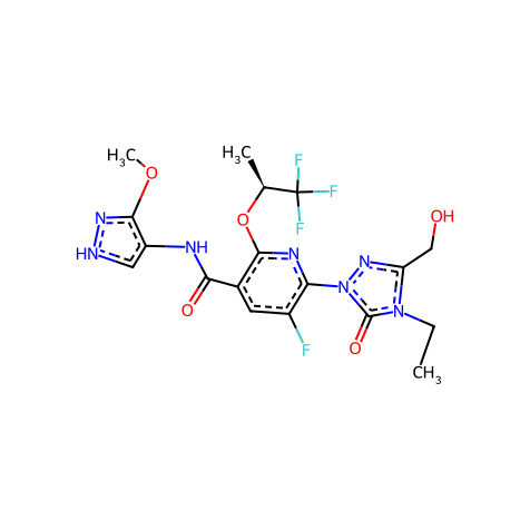 CCn1c(CO)nn(-c2nc(O[C@@H](C)C(F)(F)F)c(C(=O)Nc3c[nH]nc3OC)cc2F)c1=O